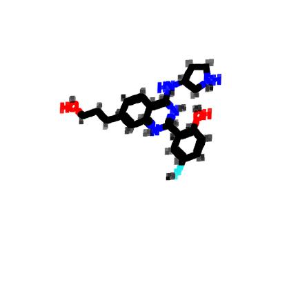 OCCCc1ccc2c(N[C@H]3CCNC3)nc(-c3cc(F)ccc3O)nc2c1